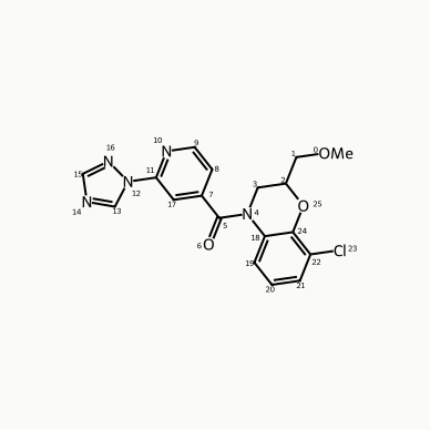 COCC1CN(C(=O)c2ccnc(-n3cncn3)c2)c2cccc(Cl)c2O1